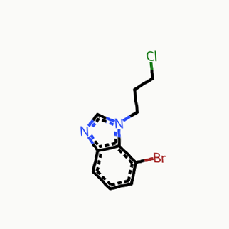 ClCCCn1cnc2cccc(Br)c21